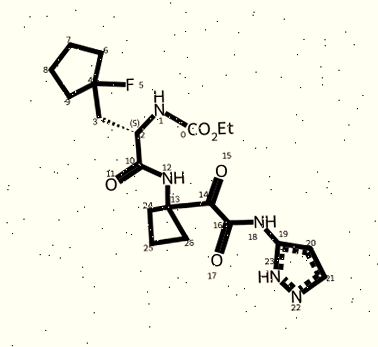 CCOC(=O)N[C@@H](CC1(F)CCCC1)C(=O)NC1(C(=O)C(=O)Nc2ccn[nH]2)CCC1